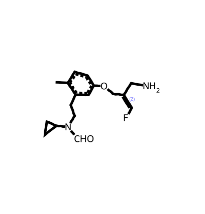 Cc1ccc(OC/C(=C\F)CN)cc1CCN(C=O)C1CC1